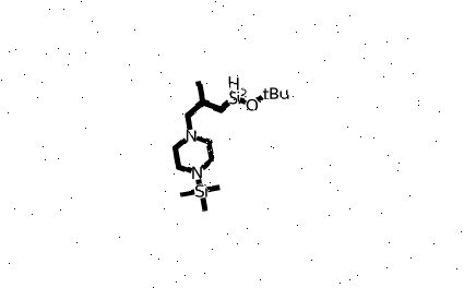 CC(C[SiH2]OC(C)(C)C)CN1CCN([Si](C)(C)C)CC1